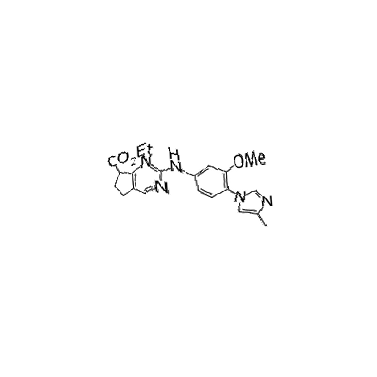 CCOC(=O)C1CCc2cnc(Nc3ccc(-n4cnc(C)c4)c(OC)c3)nc21